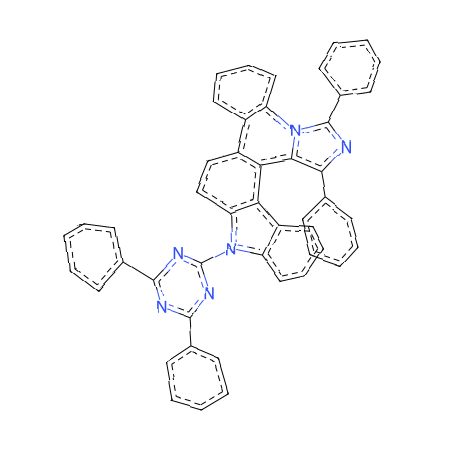 c1ccc(-c2nc(-c3ccccc3)nc(-n3c4ccccc4c4c5c(ccc43)c3ccccc3n3c(-c4ccccc4)nc(-c4ccccc4)c53)n2)cc1